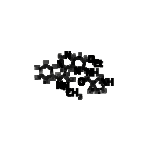 CCOc1cc2ncnc(-c3cn(C)nc3-c3ccccc3)c2nc1NC(=O)C12CNCC1C2